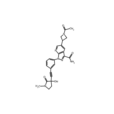 CC(=O)N1CC(c2cnc3c(c2)c(C(N)=O)nn3-c2cccc(C#CC3(O)CCN(C)C3=O)c2)C1